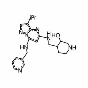 CC(C)c1cnn2c(NCc3cccnc3)cc(NCC3CCNC[C@@H]3O)nc12